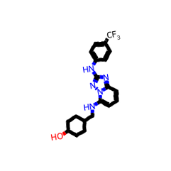 OC1CCC(CNc2cccc3nc(Nc4ccc(C(F)(F)F)cc4)nn23)CC1